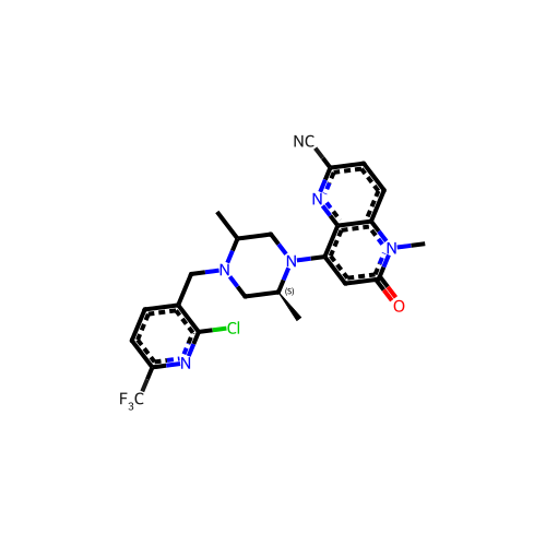 CC1CN(c2cc(=O)n(C)c3ccc(C#N)nc23)[C@@H](C)CN1Cc1ccc(C(F)(F)F)nc1Cl